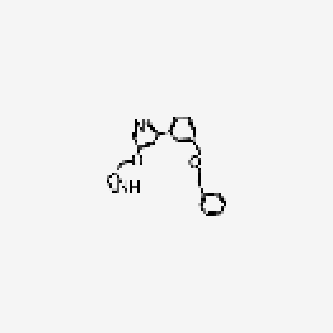 c1ccc(CCOCc2cccc(-c3cncc(OC[C@@H]4CCN4)c3)c2)cc1